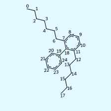 CCCCCCCc1[c]ccc(CCCCCC)c1-c1ccccc1